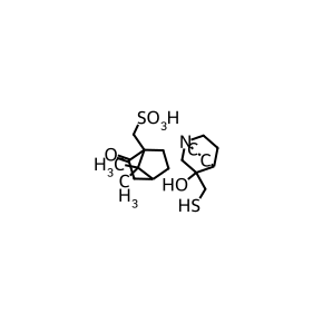 CC1(C)C2CCC1(CS(=O)(=O)O)C(=O)C2.OC1(CS)CN2CCC1CC2